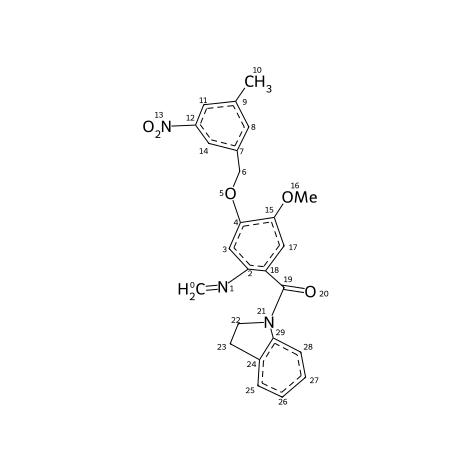 C=Nc1cc(OCc2cc(C)cc([N+](=O)[O-])c2)c(OC)cc1C(=O)N1CCc2ccccc21